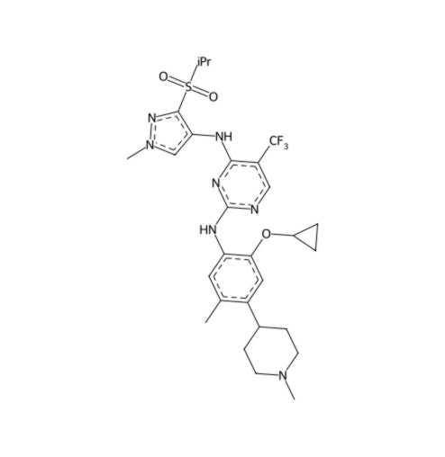 Cc1cc(Nc2ncc(C(F)(F)F)c(Nc3cn(C)nc3S(=O)(=O)C(C)C)n2)c(OC2CC2)cc1C1CCN(C)CC1